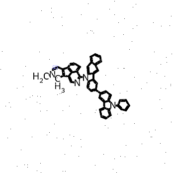 C=N/C=C\C1=C(C)c2cnc(-n3c4ccc(-c5ccc6c(c5)c5ccccc5n6-c5ccccc5)cc4c4cc5ccccc5cc43)c3cccc1c23